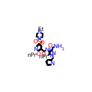 CCCOc1ncc(S(=O)(=O)N2CCN(CC)CC2)cc1C(=O)Nc1c(C(N)=O)nn(Cc2ccccn2)c1CCC